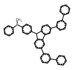 CN(c1ccccc1)c1ccc(C2c3ccc(-c4cccc(-c5ccccc5)c4)cc3-c3cc(-c4cccc(-c5ccccc5)c4)ccc32)cc1